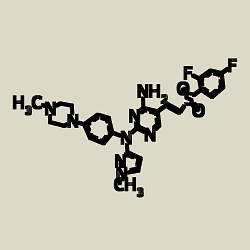 CN1CCN(c2ccc(N(c3ccn(C)n3)c3ncc(/C=C/S(=O)(=O)c4ccc(F)cc4F)c(N)n3)cc2)CC1